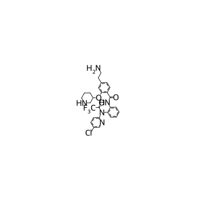 NCCc1ccc(C(=O)Nc2ccccc2N(C(=O)C(F)(F)F)c2ccc(Cl)cn2)c(OC2CCCNC2)c1